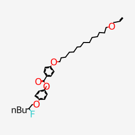 C=CCOCCCCCCCCCCCCCCOc1ccc(C(=O)Oc2ccc(OCC(F)CCCC)cc2)cc1